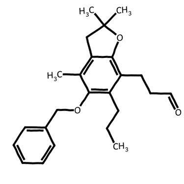 CCCc1c(CCC=O)c2c(c(C)c1OCc1ccccc1)CC(C)(C)O2